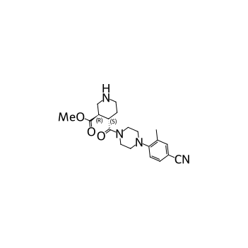 COC(=O)[C@H]1CNCC[C@@H]1C(=O)N1CCN(c2ccc(C#N)cc2C)CC1